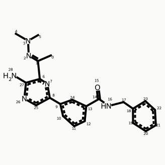 CC(=NN(C)C)c1nc(-c2cccc(C(=O)NCc3ccccc3)c2)cnc1N